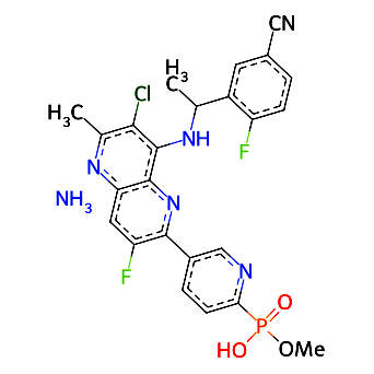 COP(=O)(O)c1ccc(-c2nc3c(NC(C)c4cc(C#N)ccc4F)c(Cl)c(C)nc3cc2F)cn1.N